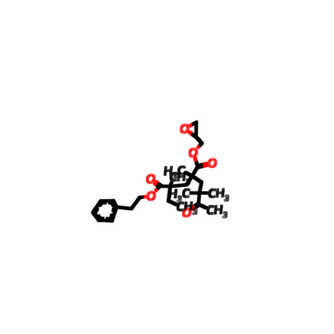 CCC(C)(CC(C)(CC(C)(C)C(C)=O)C(=O)OCC1CO1)C(=O)OCCc1ccccc1